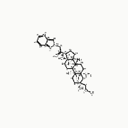 CCOC[C@@]1(O)CC[C@@H]2[C@H]3CC[C@]4(C)[C@@H](C(=O)Cn5cc6ncccc6n5)CC[C@H]4[C@@H]3CC[C@@]2(C)C1